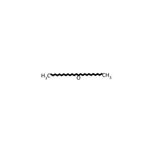 CCCCCCCCCCCCCCC(=O)CCCCCCCCCCCC